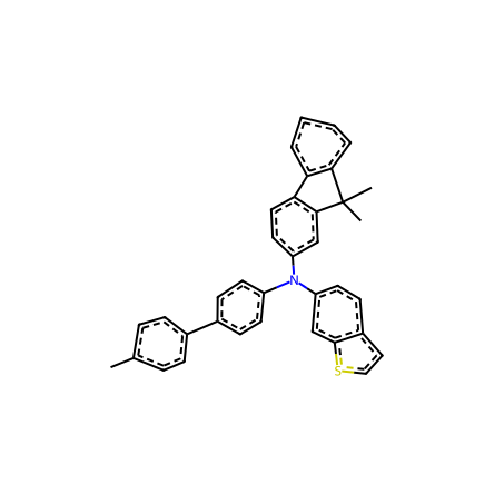 Cc1ccc(-c2ccc(N(c3ccc4c(c3)C(C)(C)c3ccccc3-4)c3ccc4ccsc4c3)cc2)cc1